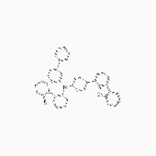 c1ccc(-c2cccc(N(c3ccc(-c4cccc5c4oc4ccccc45)cc3)c3cccc4sc5ccccc5c34)c2)cc1